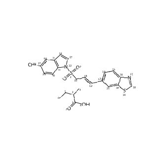 CCC(C)C(=O)O.O=S(=O)(CC=Cc1ccc2ncsc2c1)n1ccc2cc(Cl)ccc21